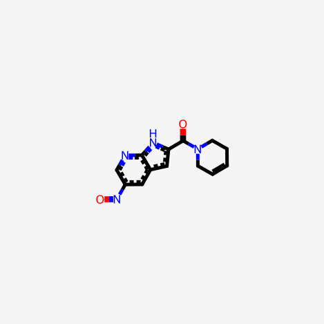 O=Nc1cnc2[nH]c(C(=O)N3CC=CCC3)cc2c1